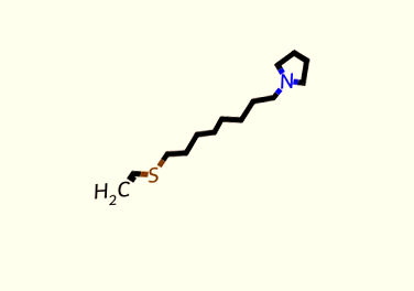 C=CSCCCCCCCCN1CCCC1